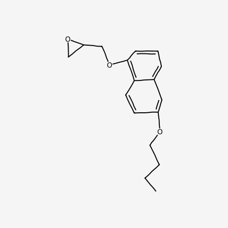 CCCCOc1ccc2c(OCC3CO3)cccc2c1